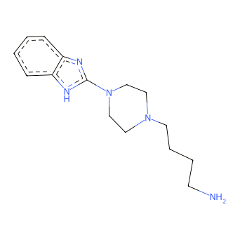 NCCCCN1CCN(c2nc3ccccc3[nH]2)CC1